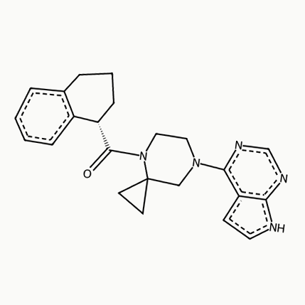 O=C([C@H]1CCCc2ccccc21)N1CCN(c2ncnc3[nH]ccc23)CC12CC2